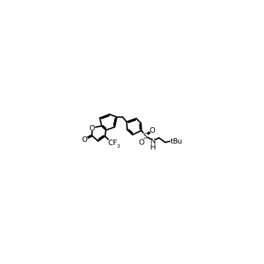 CC(C)(C)CCNS(=O)(=O)c1ccc(Cc2ccc3oc(=O)cc(C(F)(F)F)c3c2)cc1